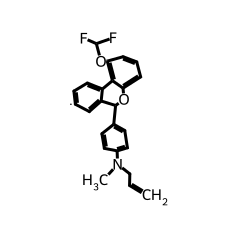 C=CCN(C)c1ccc(C2Oc3cccc(OC(F)F)c3-c3cc[c]cc32)cc1